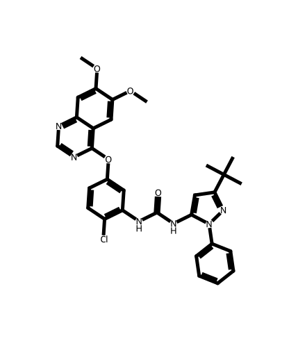 COc1cc2ncnc(Oc3ccc(Cl)c(NC(=O)Nc4cc(C(C)(C)C)nn4-c4ccccc4)c3)c2cc1OC